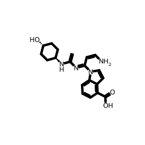 C=C(/N=C(\C=C/N)n1ccc2c(C(=O)O)cccc21)N[C@H]1CC[C@H](O)CC1